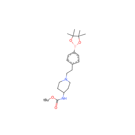 CC(C)(C)OC(=O)NC1CCN(CCc2ccc(B3OC(C)(C)C(C)(C)O3)cc2)CC1